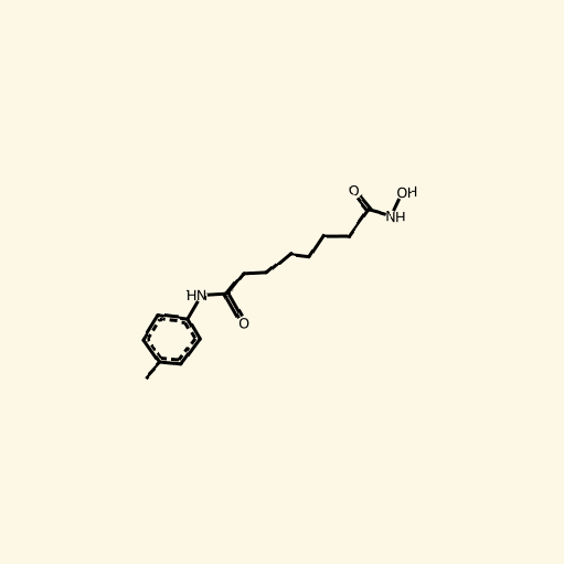 Cc1ccc(NC(=O)CCCCCCC(=O)NO)cc1